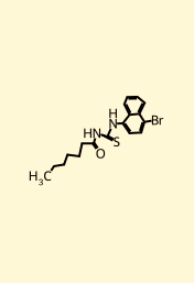 CCCCCCC(=O)NC(=S)Nc1ccc(Br)c2ccccc12